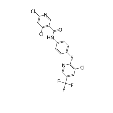 O=C(Nc1ccc(Sc2ncc(C(F)(F)F)cc2Cl)cc1)c1cnc(Cl)cc1Cl